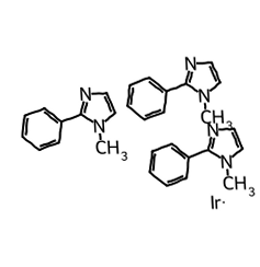 Cn1ccnc1-c1ccccc1.Cn1ccnc1-c1ccccc1.Cn1ccnc1-c1ccccc1.[Ir]